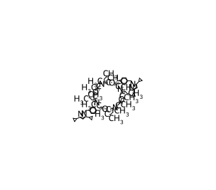 CC(C)C[C@H]1CO[C@H](C)CN(C)[C@@H](CC(C)C)CO[C@H](Cc2ccc(Cn3nc(C4CC4)cc3C3CC3)cc2)CN(C)[C@@H](CC(C)C)CO[C@H](C)CN(C)[C@@H](CC(C)C)CO[C@H](Cc2ccc(Cn3nc(C4CC4)cc3C3CC3)cc2)CN1C